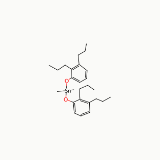 CCCc1cccc([O][Sn]([CH3])([CH3])[O]c2cccc(CCC)c2CCC)c1CCC